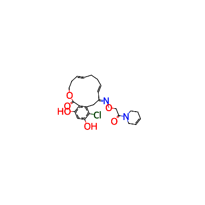 O=C1OCC/C=C/CC/C=C/C(=N/OCC(=O)N2CC=CCC2)Cc2c(Cl)c(O)cc(O)c21